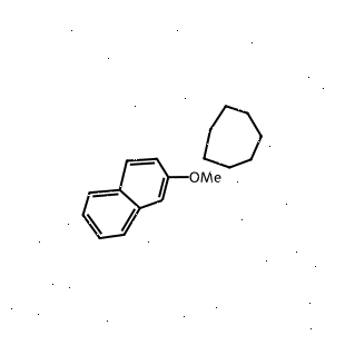 C1CCCCCC1.COc1ccc2ccccc2c1